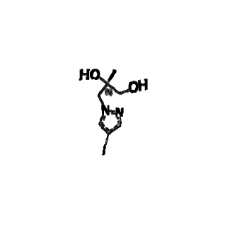 C[C@@](O)(CO)Cn1cc(I)cn1